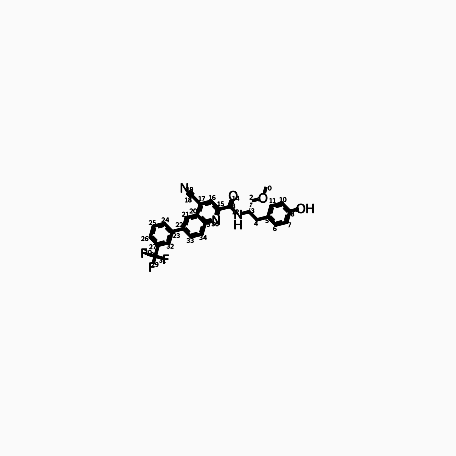 COC[C@H](Cc1ccc(O)cc1)NC(=O)c1cc(C#N)c2cc(-c3cccc(C(F)(F)F)c3)ccc2n1